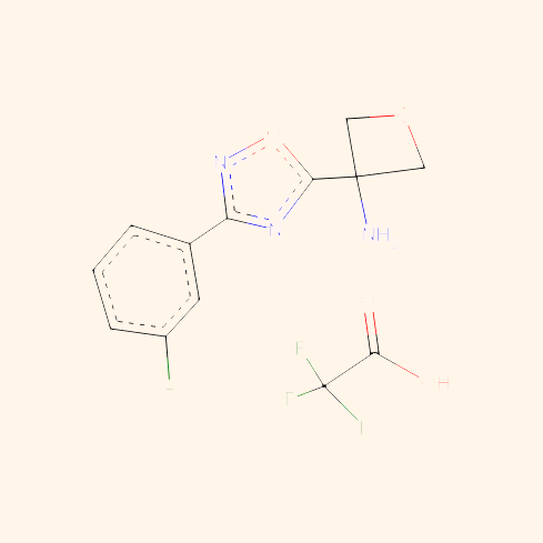 NC1(c2nc(-c3cccc(F)c3)no2)COC1.O=C(O)C(F)(F)F